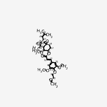 COCCOc1c(OC)cc(/C=C/C(=O)O[C@@H]2CC[C@]3(CO3)[C@@H](C3(C)O[C@H]3CC=C(C)C)[C@@H]2OC)cc1OC